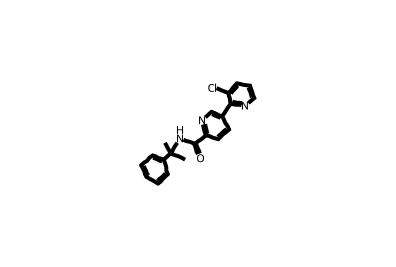 CC(C)(NC(=O)c1ccc(-c2ncccc2Cl)cn1)c1ccccc1